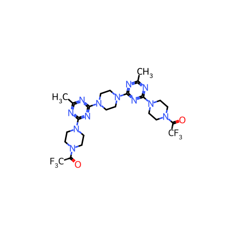 Cc1nc(N2CCN(C(=O)C(F)(F)F)CC2)nc(N2CCN(c3nc(C)nc(N4CCN(C(=O)C(F)(F)F)CC4)n3)CC2)n1